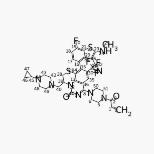 C=CC(=O)N1CCN(c2nc(=O)n3c4c(c(-c5ccc(F)c6sc(NC)c(C#N)c56)c(C(F)(F)F)cc24)SCC3CN2CCN(C3CC3)CC2)CC1